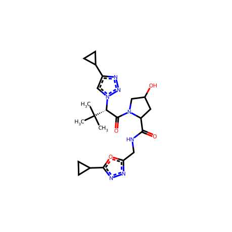 CC(C)(C)[C@@H](C(=O)N1CC(O)CC1C(=O)NCc1nnc(C2CC2)o1)n1cc(C2CC2)nn1